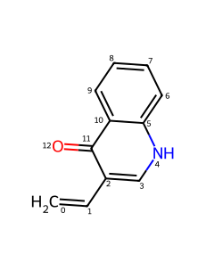 C=Cc1c[nH]c2ccccc2c1=O